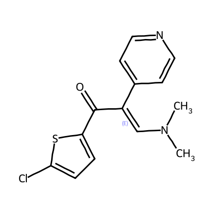 CN(C)/C=C(/C(=O)c1ccc(Cl)s1)c1ccncc1